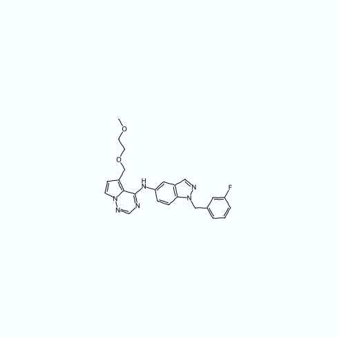 COCCOCc1ccn2ncnc(Nc3ccc4c(cnn4Cc4cccc(F)c4)c3)c12